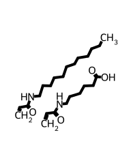 C=CC(=O)NCCCCCC(=O)O.C=CC(=O)NCCCCCCCCCCCC